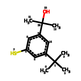 CC(C)(C)c1cc(S)cc(C(C)(C)O)c1